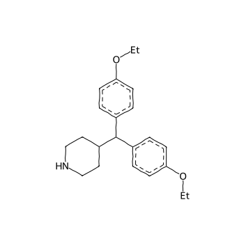 CCOc1ccc(C(c2ccc(OCC)cc2)C2CCNCC2)cc1